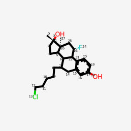 C[C@]1(O)CCC2C3C(CCCCCCl)Cc4cc(O)ccc4C3[C@@H](F)C[C@@]21C